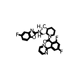 C[C@@H]1CCCN(C(=O)c2c(F)cc(F)cc2-c2ncccn2)[C@@H]1CNc1nc2cc(F)ccc2o1